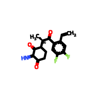 C=Cc1cc(F)c(F)cc1C(=O)[C@H](C)C1CCC(=O)C(=N)C1=O